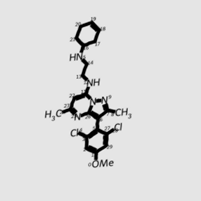 COc1cc(Cl)c(-c2c(C)nn3c(NCCNC4CC=CCC4)cc(C)nc23)c(Cl)c1